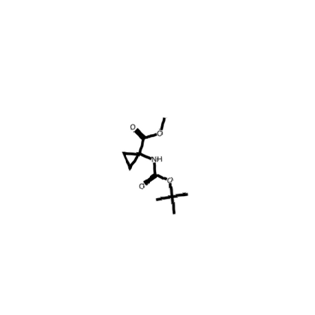 [CH2]OC(=O)C1(NC(=O)OC(C)(C)C)CC1